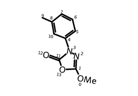 COc1nn(-c2cc[c]c(C)c2)c(=O)o1